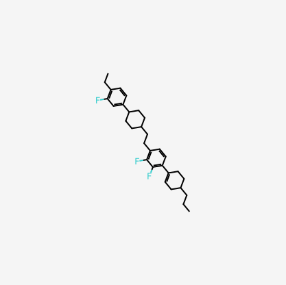 CCCC1CC=C(c2ccc(CCC3CCC(c4ccc(CC)c(F)c4)CC3)c(F)c2F)CC1